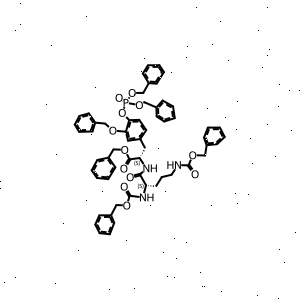 O=C(NCCC[C@H](NC(=O)OCc1ccccc1)C(=O)N[C@@H](Cc1ccc(OP(=O)(OCc2ccccc2)OCc2ccccc2)c(OCc2ccccc2)c1)C(=O)OCc1ccccc1)OCc1ccccc1